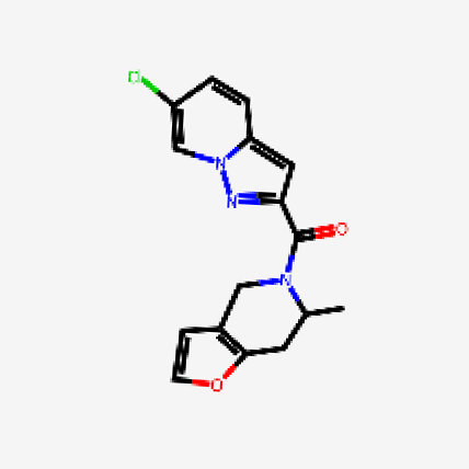 CC1Cc2occc2CN1C(=O)c1cc2ccc(Cl)cn2n1